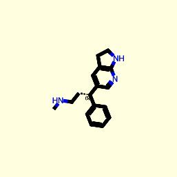 CNCC[C@@H](c1ccccc1)c1cnc2c(c1)CCN2